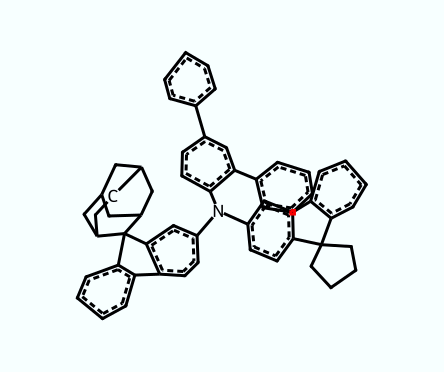 c1ccc(-c2ccc(N(c3ccc4c(c3)-c3ccccc3C43CCCC3)c3ccc4c(c3)C3(c5ccccc5-4)C4CCC5CC(C4)CC3C5)c(-c3ccccc3)c2)cc1